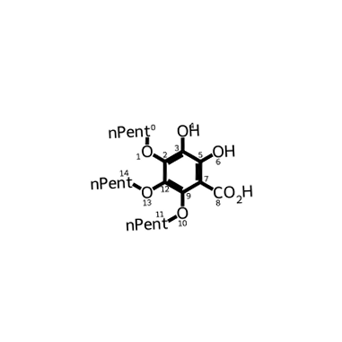 CCCCCOc1c(O)c(O)c(C(=O)O)c(OCCCCC)c1OCCCCC